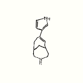 C1=C(c2cc[nH]c2)CC2CNCC1C2